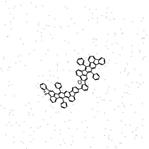 c1ccc(-c2c3cc4c5ccccc5c5cccc(c3c(-c3ccccc3)c3c6cccc7c8oc9c(-c%10ccc%11c(c%10)c%10cccc%12c%13c(-c%14ccccc%14)c%14c%15cccc%16c%17sc%18ccccc%18c%17cc(c%14c(-c%14ccccc%14)c%13cc%11c%10%12)c%16%15)cccc9c8cc(c23)c76)c54)cc1